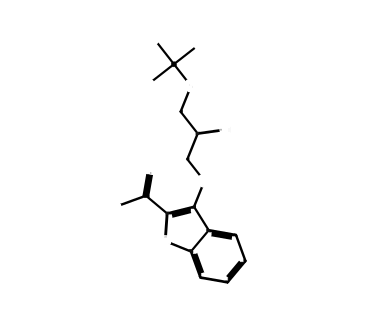 CC(=O)c1oc2ccccc2c1OCC(O)CNC(C)(C)C